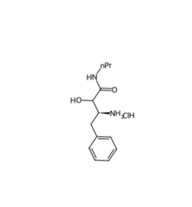 CCCNC(=O)C(O)[C@@H](N)Cc1ccccc1.Cl